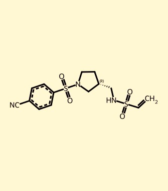 C=CS(=O)(=O)NC[C@H]1CCN(S(=O)(=O)c2ccc(C#N)cc2)C1